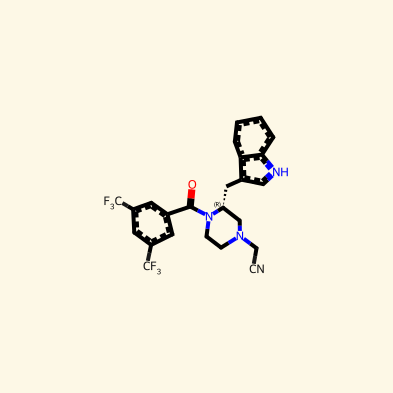 N#CCN1CCN(C(=O)c2cc(C(F)(F)F)cc(C(F)(F)F)c2)[C@H](Cc2c[nH]c3ccccc23)C1